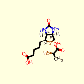 CC(S)C(=O)O.O=C(O)CCCC[C@@H]1SC[C@@H]2NC(=O)N[C@@H]21